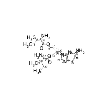 CCC(C)[C@H](N)C(=O)OCC[C@@H](COC(=O)[C@@H](N)C(C)CC)Cn1cnc2cnc(N)nc21